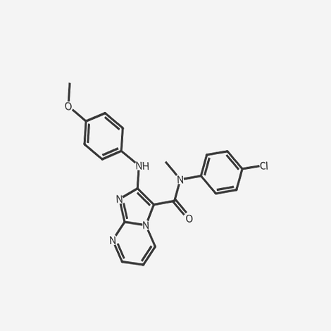 COc1ccc(Nc2nc3ncccn3c2C(=O)N(C)c2ccc(Cl)cc2)cc1